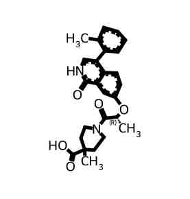 Cc1ccccc1-c1c[nH]c(=O)c2cc(O[C@H](C)C(=O)N3CCC(C)(C(=O)O)CC3)ccc12